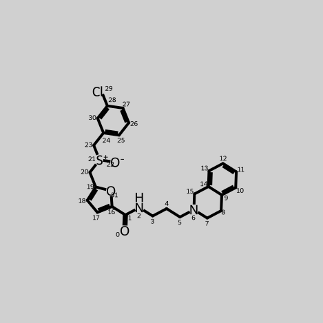 O=C(NCCCN1CCc2ccccc2C1)c1ccc(C[S+]([O-])Cc2cccc(Cl)c2)o1